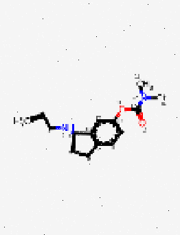 C=CCN[C@@H]1CCc2ccc(OC(=O)N(C)CC)cc21